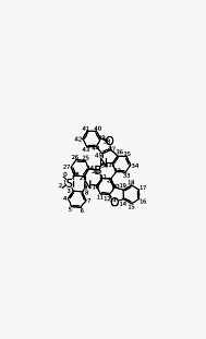 C[Si]1(C)c2ccccc2N2c3cc4oc5ccccc5c4c4c3B(c3cccc1c32)n1c2c-4cccc2c2oc3ccccc3c21